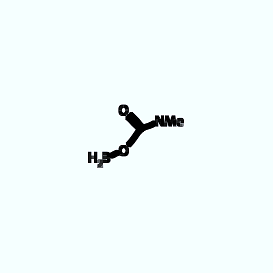 BOC(=O)NC